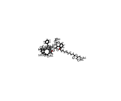 CC(=O)OCC(COC(C)=O)OC(=O)CCCSSCCCC(=O)O[C@@H](C(O)O[C@H]1C[C@@]2(O)[C@@H](OC(=O)c3ccccc3)[C@@H]3[C@]4(OC(C)=O)CO[C@@H]4C[C@H](O)[C@@]3(C)C(=O)[C@H](OC(C)=O)C(=C1C)C2(C)C)[C@@H](NC(=O)OC(C)(C)C)c1ccccc1